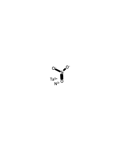 O=[Si]([O-])[O-].[N-3].[Ta+5]